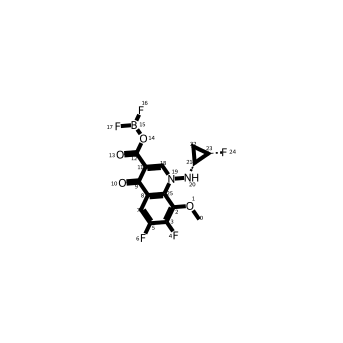 COc1c(F)c(F)cc2c(=O)c(C(=O)OB(F)F)cn(N[C@@H]3C[C@@H]3F)c12